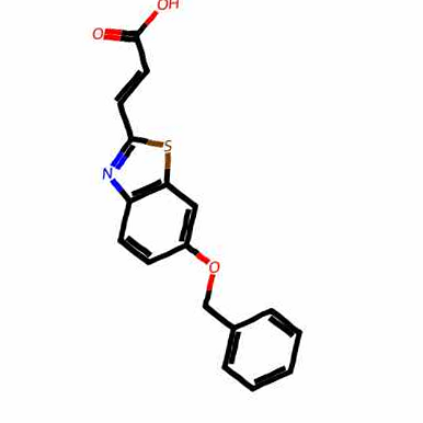 O=C(O)C=Cc1nc2ccc(OCc3ccccc3)cc2s1